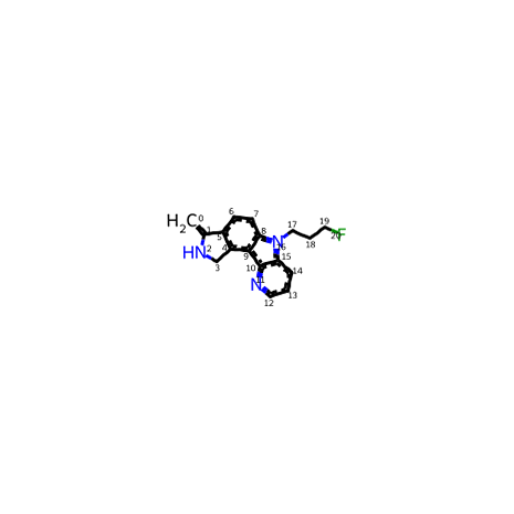 C=C1NCc2c1ccc1c2c2ncccc2n1CCCF